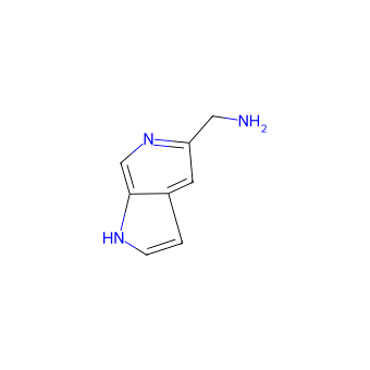 NCc1cc2cc[nH]c2cn1